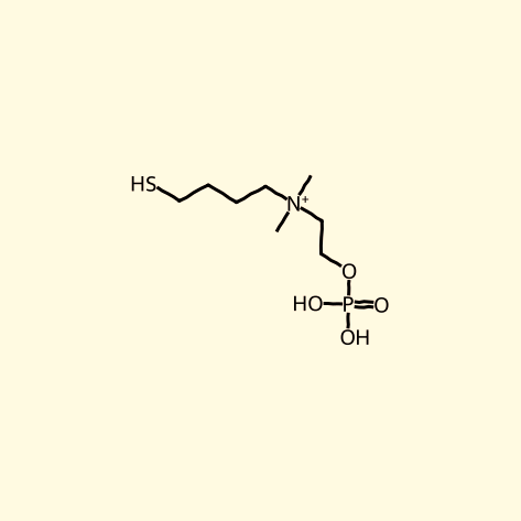 C[N+](C)(CCCCS)CCOP(=O)(O)O